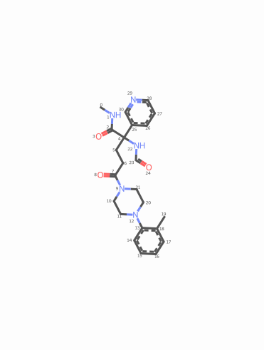 CNC(=O)C(CCC(=O)N1CCN(c2ccccc2C)CC1)(NC=O)c1cccnc1